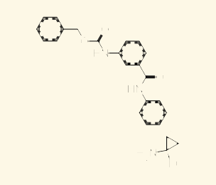 CC[C@]1(N)C[C@H]1c1ccc(NC(=O)c2cccc(NC(=O)OCc3ccccc3)c2)cc1